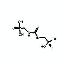 O=C(NCP(=O)(O)O)NCP(=O)(O)O